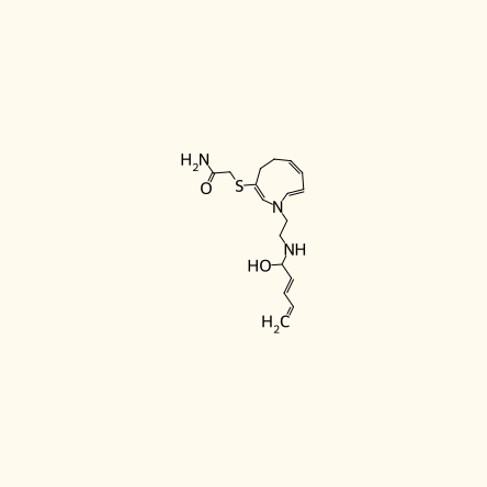 C=C/C=C/C(O)NCCN1/C=C/C=C\CC/C(SCC(N)=O)=C\1